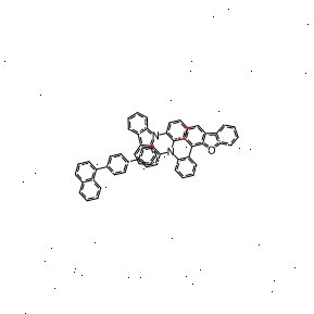 c1ccc(N(c2ccc(-c3ccc(-c4cccc5ccccc45)cc3)cc2)c2ccccc2-n2c3ccccc3c3ccccc32)c(-c2cccc3c2oc2ccccc23)c1